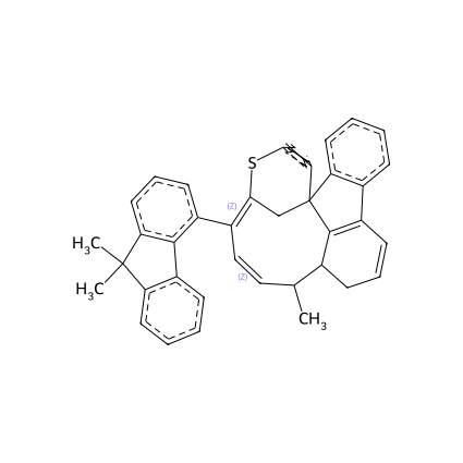 CC1/C=C\C(c2cccc3c2-c2ccccc2C3(C)C)=C2/CC3(C4=C(C=CCC41)c1ccccc13)c1ccccc1S2